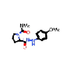 CNC(=O)N1CCCC1C(=O)NNc1ccc(OC)cc1